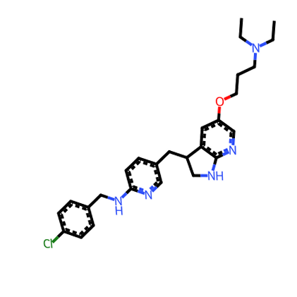 CCN(CC)CCCOc1cnc2c(c1)C(Cc1ccc(NCc3ccc(Cl)cc3)nc1)CN2